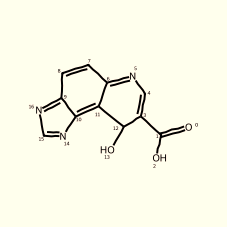 O=C(O)C1=CN=c2ccc3c(c2C1O)N=CN=3